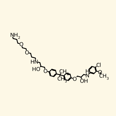 COc1cc(NCC(O)COc2ccc(C(C)(C)c3ccc(OCC(O)CNCCCOCCOCCCN)cc3)cc2)ccc1Cl